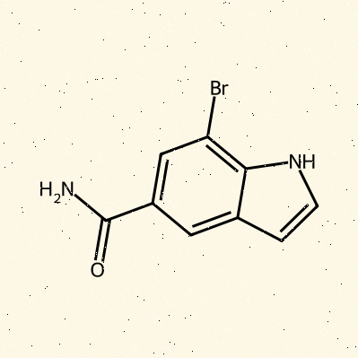 NC(=O)c1cc(Br)c2[nH]ccc2c1